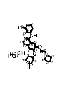 Cl.Cl.Cl.Fc1c(Cl)cccc1Nc1ncnc2cc(OC3CCNCC3)c(OCCN3CCCC3)cc12